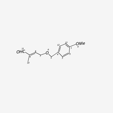 COc1ccc(COC/C=C(\C)C=O)cc1